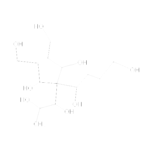 CC(O)C(O)C(C(O)CCO)(C(O)CCO)C(O)CCCO